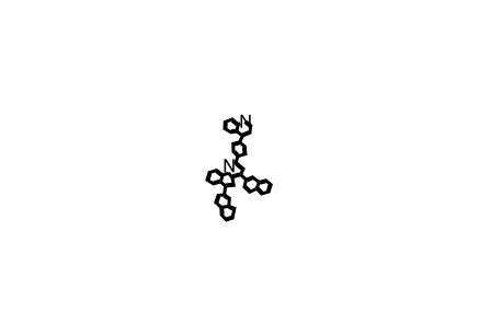 c1ccc2cc(-c3cc4c(-c5ccc6ccccc6c5)cc(-c5ccc(-c6ccnc7ccccc67)cc5)nc4c4ccccc34)ccc2c1